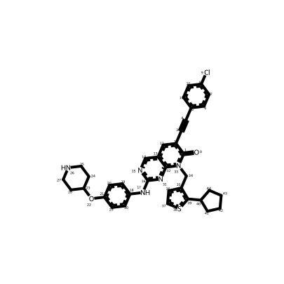 O=c1c(C#Cc2ccc(Cl)cc2)cc2cnc(Nc3ccc(OC4CCNCC4)cc3)nc2n1Cc1ccsc1C1CCCC1